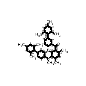 Cc1cc(C)c(-c2ccc(N(C)c3c(C)cc(C)c(C(=O)c4cccc(-c5c(C)cc(C)cc5C)c4)c3C)cc2)c(C)c1